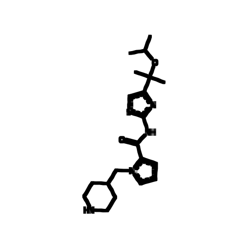 CC(C)OC(C)(C)c1csc(NC(=O)c2cccn2CC2CCNCC2)n1